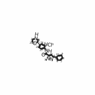 Cl.Cn1nc(-c2ccccc2)cc1C(=O)Nc1ccc([C@@H]2CNCCO2)cc1